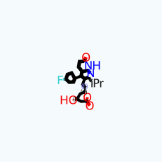 CC(C)c1nc2[nH]c(=O)ccc2c(-c2ccc(F)cc2)c1/C=C/[C@@H]1C[C@@H](O)CC(=O)O1